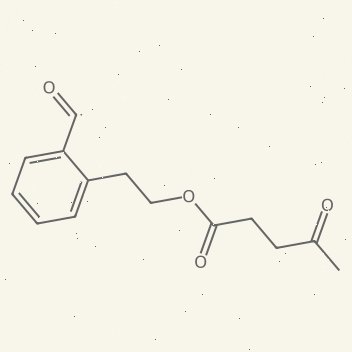 CC(=O)CCC(=O)OCCc1ccccc1[C]=O